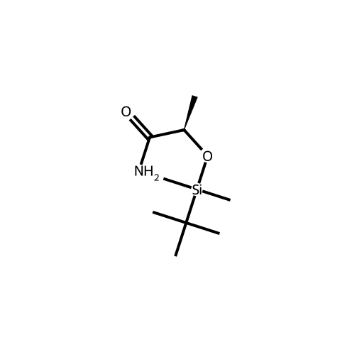 C[C@@H](O[Si](C)(C)C(C)(C)C)C(N)=O